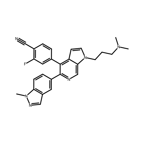 CN(C)CCCn1ccc2c(-c3ccc(C#N)c(F)c3)c(-c3ccc4c(cnn4C)c3)ncc21